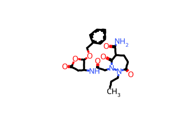 CCCN1C(=O)CCC(C(N)=O)C(=O)N1CC(=O)NC1CC(=O)OC1OCc1ccccc1